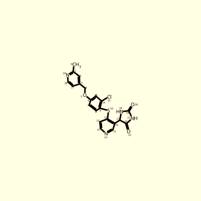 Cc1cc(COc2ccc(Sc3ccncc3C3NC(=O)NC3=O)c(Cl)c2)ccn1